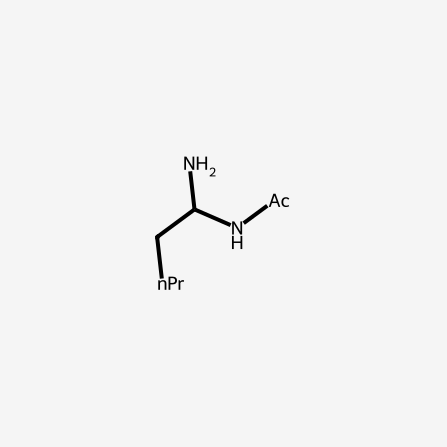 CCCCC(N)NC(C)=O